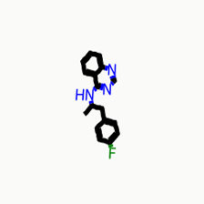 CC(Cc1ccc(F)cc1)Nc1ncnc2ccccc12